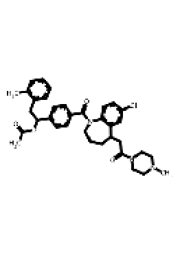 CC(=O)OC(Cc1ccccc1C)c1ccc(C(=O)N2CCCC(CC(=O)N3CCN(C)CC3)c3cc(Cl)ccc32)cc1